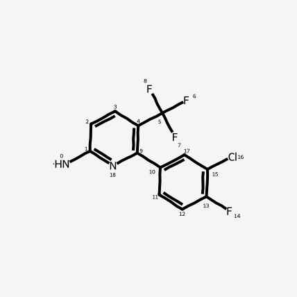 [NH]c1ccc(C(F)(F)F)c(-c2ccc(F)c(Cl)c2)n1